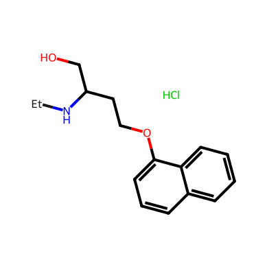 CCNC(CO)CCOc1cccc2ccccc12.Cl